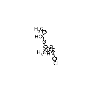 Cc1cccc(C(O)CCOCc2cc3c(=O)c(C(=O)NCc4ccc(Cl)cc4)cn(C)c3s2)c1